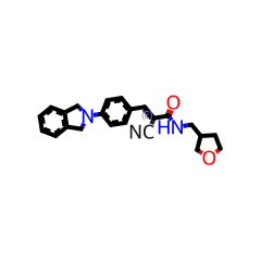 N#C/C(=C\c1ccc(N2Cc3ccccc3C2)cc1)C(=O)NCC1CCOC1